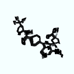 C[C@]1(C(=O)O)CC[C@](C)(c2nc(-c3ccc(C(=O)Nc4cc(C(F)(F)F)ccn4)cc3)c3cncc(N)n23)C1